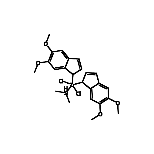 COc1cc2c(cc1OC)[CH]([Zr]([Cl])([Cl])([CH]1C=Cc3cc(OC)c(OC)cc31)[SiH](C)C)C=C2